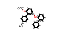 O=C([O-])Oc1ccccc1-c1ccccc1.O=C([O-])Oc1ccccc1-c1ccccc1.[CH3][Al+2]